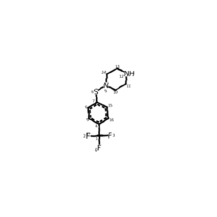 FC(F)(F)c1ccc(SN2CCNCC2)cc1